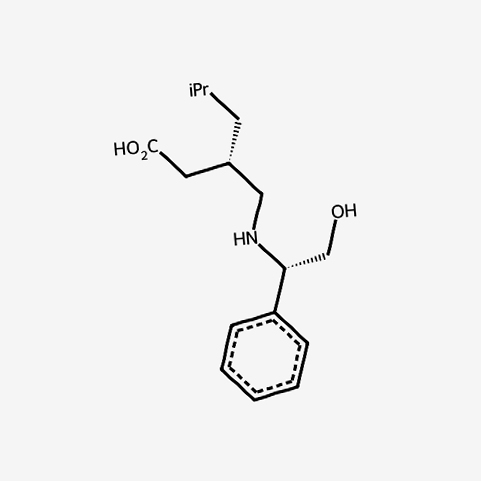 CC(C)C[C@H](CN[C@H](CO)c1ccccc1)CC(=O)O